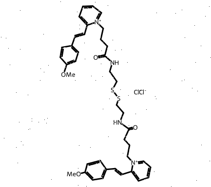 COc1ccc(C=Cc2cccc[n+]2CCCC(=O)NCCSSCCNC(=O)CCC[n+]2ccccc2C=Cc2ccc(OC)cc2)cc1.[Cl-].[Cl-]